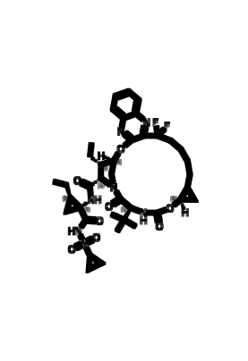 CC[C@@H]1[C@@H]2CN(C(=O)[C@H](C(C)(C)C)NC(=O)O[C@@H]3CC3CCCCC(F)(F)c3nc4ccccc4nc3O2)[C@@H]1C(=O)N[C@]1(C(=O)NS(=O)(=O)C2CC2)C[C@H]1CC